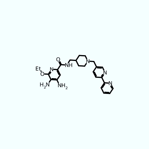 CCOc1nc(C(=O)NCC2CCN(Cc3ccc(-c4ccccn4)nc3)CC2)cc(N)c1N